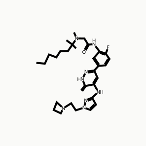 C=C1NN=C(c2ccc(F)c(NC(=O)CN(C)C(C)(C)CCCCCC)c2)C=C1Nc1ccn(CCN2CCC2)n1